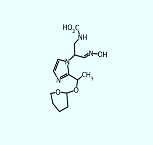 CC(OC1CCCCO1)c1nccn1C(/C=N/O)CNC(=O)O